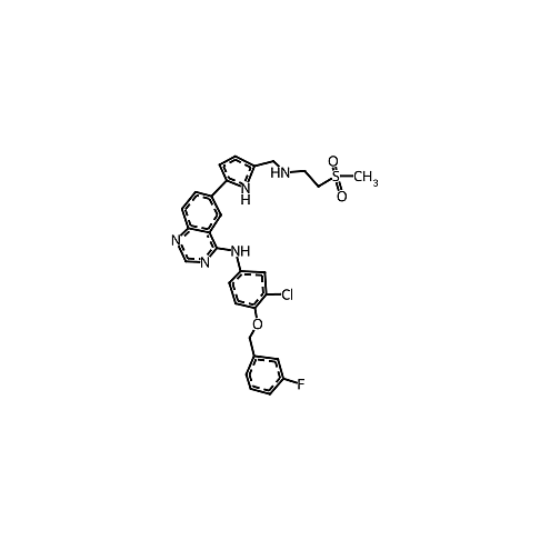 CS(=O)(=O)CCNCc1ccc(-c2ccc3ncnc(Nc4ccc(OCc5cccc(F)c5)c(Cl)c4)c3c2)[nH]1